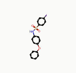 O=S(=O)(Nc1ccc(Oc2ccccc2)cc1)c1ccc(I)cc1